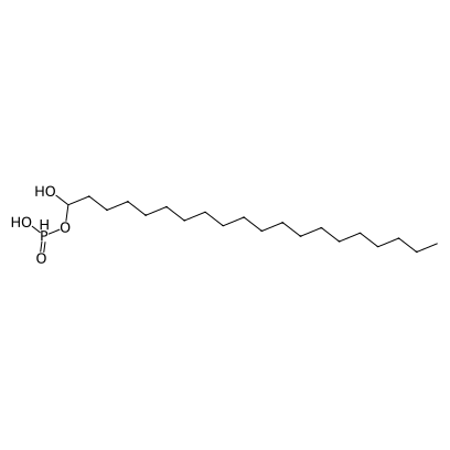 CCCCCCCCCCCCCCCCCCCC(O)O[PH](=O)O